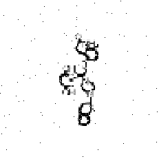 Cc1ccc(OCC(=O)N2CCN(Cc3ccc4ccccc4n3)CC2)c2c1NC(=O)CC2.O=C(O)/C=C\C(=O)O